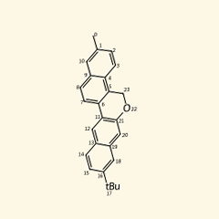 Cc1ccc2c3c(ccc2c1)-c1cc2ccc(C(C)(C)C)cc2cc1OC3